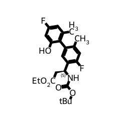 CCOC(=O)C[C@H](NC(=O)OC(C)(C)C)c1cc(-c2c(C)cc(F)cc2O)c(C)cc1F